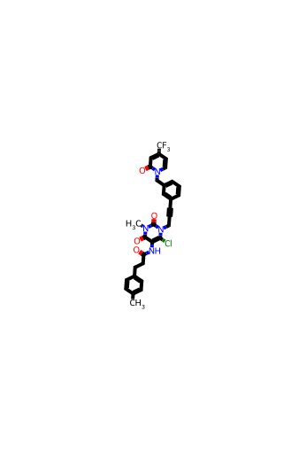 Cc1ccc(CCC(=O)Nc2c(Cl)n(CC#Cc3cccc(Cn4ccc(C(F)(F)F)cc4=O)c3)c(=O)n(C)c2=O)cc1